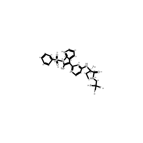 [2H]c1c(-c2nccc(N[C@](C)(CC)C(=O)NCC(F)(F)F)n2)c2cccnc2n1S(=O)(=O)c1ccccc1